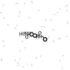 O=C(NO)c1ccc2cc(C(=O)NCc3ccccc3)ccc2c1